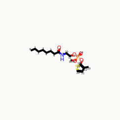 CCCCCCCC(=O)NCCOP(=O)(OC)Oc1sccc1C